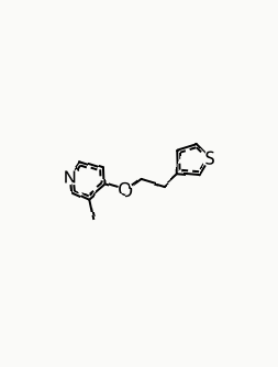 Cc1cnccc1OCCc1ccsc1